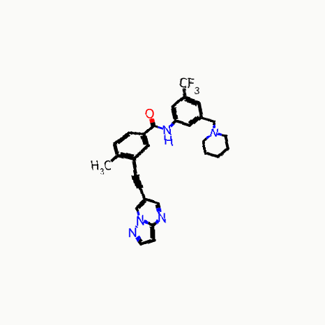 Cc1ccc(C(=O)Nc2cc(CN3CCCCC3)cc(C(F)(F)F)c2)cc1C#Cc1cnc2ccnn2c1